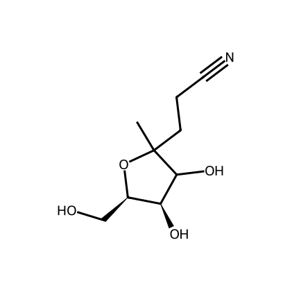 CC1(CCC#N)O[C@H](CO)[C@H](O)C1O